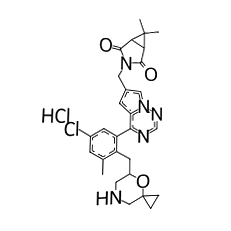 Cc1cc(Cl)cc(-c2ncnn3cc(CN4C(=O)C5C(C4=O)C5(C)C)cc23)c1CC1CNCC2(CC2)O1.Cl